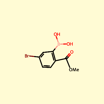 COC(=O)c1ccc(Br)cc1B(O)O